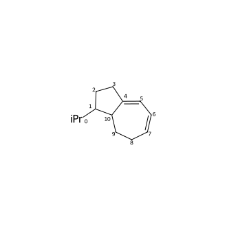 CC(C)C1CCC2=CC=CCCC21